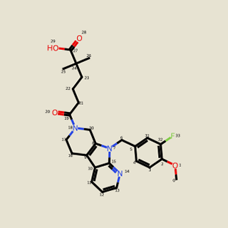 COc1ccc(Cn2c3c(c4cccnc42)CCN(C(=O)CCCC(C)(C)C(=O)O)C3)cc1F